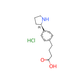 Cl.O=C(O)CCCc1ccc([C@H]2CCCN2)cc1